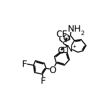 NCC1=CC=CC[N+]1(c1ccc(Oc2ccc(F)cc2F)cc1)S(=O)(=O)CC(F)(F)F